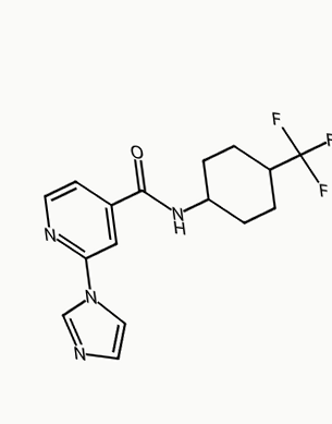 O=C(NC1CCC(C(F)(F)F)CC1)c1ccnc(-n2ccnc2)c1